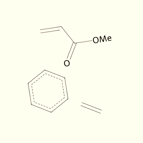 C=C.C=CC(=O)OC.c1ccccc1